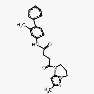 Cc1cc2n(n1)CCCN2C(=O)CCC(=O)Nc1ccc(-c2ccccc2)c(C)c1